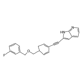 Fc1cccc(COCC2C=CC(C#Cc3cc4cccnc4[nH]3)=CC2)c1